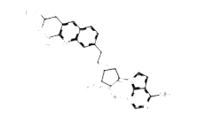 CC1Cc2cc3ccc(CC[C@H]4C[C@@H](n5ccc6c(N)ncnc65)[C@H](O)[C@@H]4O)cc3nc2NO1